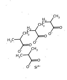 CC(C)C(=O)[O-].CC(C)C(=O)[O-].CC(C)C(=O)[O-].CC(C)C(=O)[O-].[Si+4]